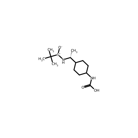 C[C@@H](N[S+]([O-])C(C)(C)C)C1CCC(NC(=O)O)CC1